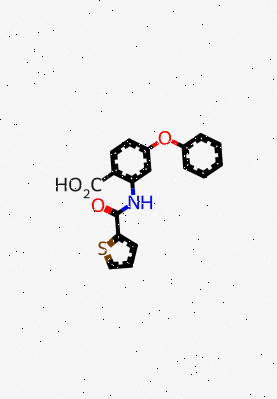 O=C(Nc1cc(Oc2ccccc2)ccc1C(=O)O)c1cccs1